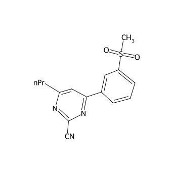 CCCc1cc(-c2cccc(S(C)(=O)=O)c2)nc(C#N)n1